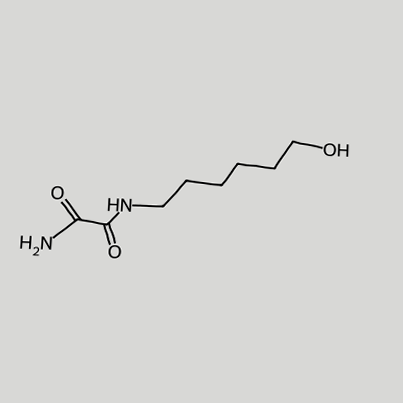 NC(=O)C(=O)NCCCCCCO